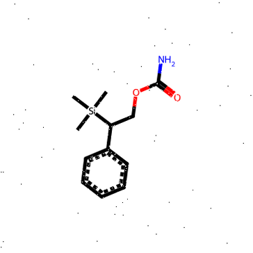 C[Si](C)(C)C(COC(N)=O)c1ccccc1